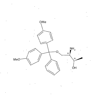 COc1ccc(C(OC[C@@H](N)[C@@H](C)O)(c2ccccc2)c2ccc(OC)cc2)cc1